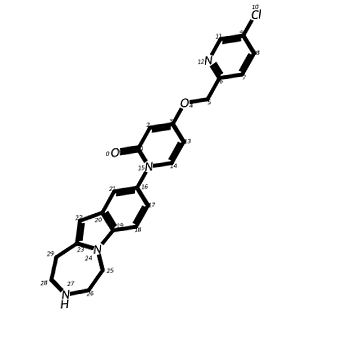 O=c1cc(OCc2ccc(Cl)cn2)ccn1-c1ccc2c(c1)cc1n2CCNCC1